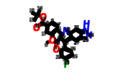 COC(=O)c1c(-c2ccc(C(=O)OC(C)(C)C)cc2)nc2cc3[nH]ncc3cc2c1-c1ccc(F)cc1